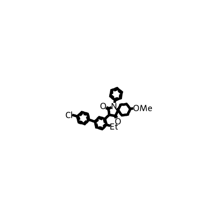 CCc1ccc(-c2ccc(Cl)cc2)cc1C1C(=O)N(c2ccccc2)C2(CCC(OC)CC2)C1=O